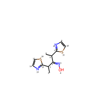 CC(C(=NO)C(C)c1nccs1)c1nccs1